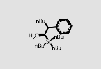 C=[C](C(CCCC)c1ccccc1)[Sn]([CH2]CCC)([CH2]CCC)[CH2]CCC